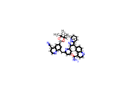 CC1(C)OB(c2cc(Cc3cccc(-c4nn5c(c4-c4ccc6nccc(C(N)=O)c6c4)C4CCC5CC4)n3)c3nccc(C#N)c3c2)OC1(C)C